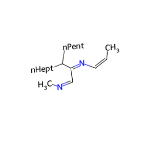 C\C=C/N=C(\C=N/C)C(CCCCC)CCCCCCC